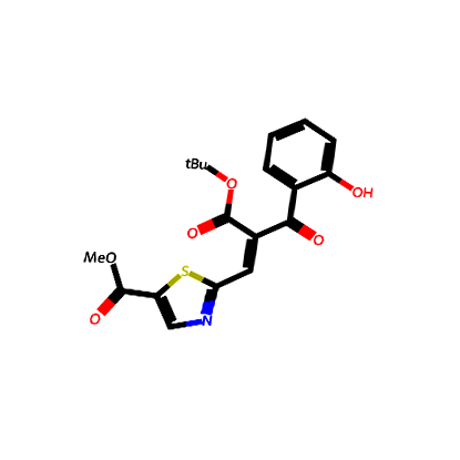 COC(=O)c1cnc(C=C(C(=O)OC(C)(C)C)C(=O)c2ccccc2O)s1